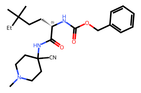 CCC(C)(C)CC[C@H](NC(=O)OCc1ccccc1)C(=O)NC1(C#N)CCN(C)CC1